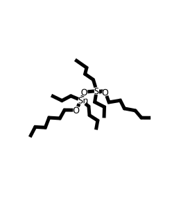 CCCCCC[O][Sn]([CH2]CC)([CH2]CCC)[O][Sn]([CH2]CC)([CH2]CCC)[O]CCCCCC